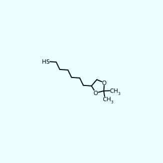 CC1(C)OCC(CCCCCCS)O1